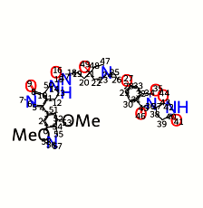 COc1cc(-c2cn(C)c(=O)c3c2CCN(C(=O)NCC2CC4(CCN(CCOc5ccc6c(c5)C(=O)N(C5CCC(=O)NC5=O)C6=O)CC4)O2)C3)cc(OC)c1CN(C)C